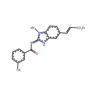 CCCn1/c(=N/C(=O)c2cccc(C#N)c2)[nH]c2cc(/C=C/C(=O)OCC)ccc21